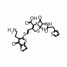 NCCc1c(S/C=C/C2=C(C(=O)O)N3C(=O)C(NC(=O)Cc4cccs4)[C@H]3SC2)sc2ccsc2c1=O